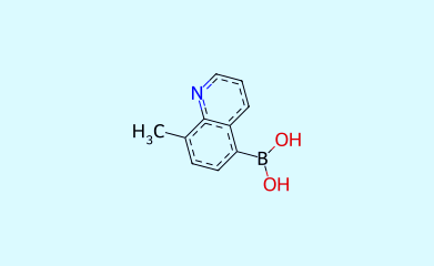 Cc1ccc(B(O)O)c2cccnc12